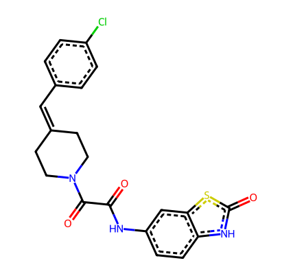 O=C(Nc1ccc2[nH]c(=O)sc2c1)C(=O)N1CCC(=Cc2ccc(Cl)cc2)CC1